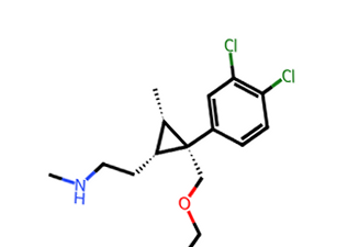 CCOC[C@]1(c2ccc(Cl)c(Cl)c2)[C@H](CCNC)[C@@H]1C